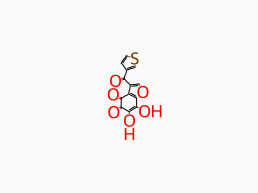 O=C1C(=O)c2c(C(=O)c3ccsc3)coc2C(O)=C1O